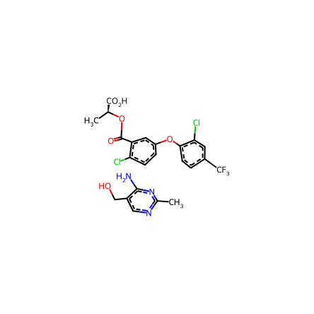 C[C@H](OC(=O)c1cc(Oc2ccc(C(F)(F)F)cc2Cl)ccc1Cl)C(=O)O.Cc1ncc(CO)c(N)n1